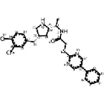 CC(NC(=O)CSc1ncc(-c2ccccc2)cn1)[C@@H]1C[C@H](Cc2ccc(Cl)c(Cl)c2)CN1